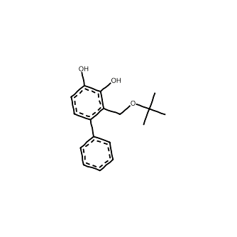 CC(C)(C)OCc1c(-c2ccccc2)ccc(O)c1O